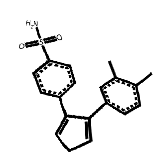 Cc1ccc(C2=CCC=C2c2ccc(S(N)(=O)=O)cc2)cc1C